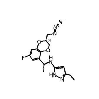 CCc1cc(NC(C)c2cc(F)cc3c2OC[C@H](CN=[N+]=[N-])O3)[nH]n1